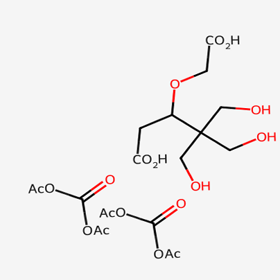 CC(=O)OC(=O)OC(C)=O.CC(=O)OC(=O)OC(C)=O.O=C(O)COC(CC(=O)O)C(CO)(CO)CO